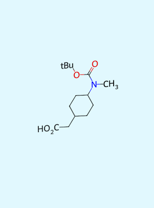 CN(C(=O)OC(C)(C)C)C1CCC(CC(=O)O)CC1